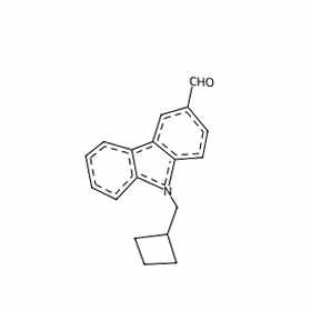 O=Cc1ccc2c(c1)c1ccccc1n2CC1CCC1